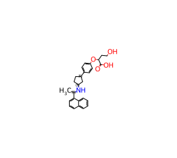 C[C@@H](N[C@H]1CC[C@@H](c2ccc(OC(CCO)C(=O)O)cc2)C1)c1cccc2ccccc12